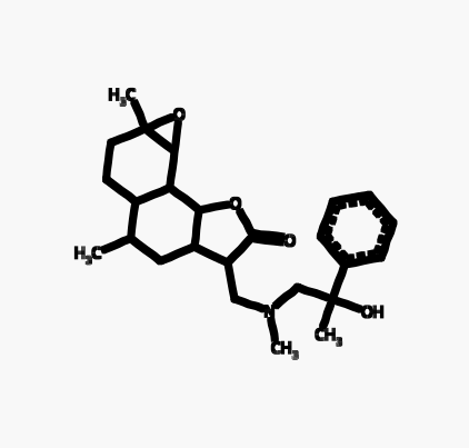 CC1CC2C(CN(C)CC(C)(O)c3ccccc3)C(=O)OC2C2C1CCC1(C)OC21